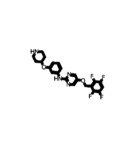 Fc1cc(F)c(F)c(COc2cnc(Nc3cccc(OC4CCNCC4)c3)nc2)c1F